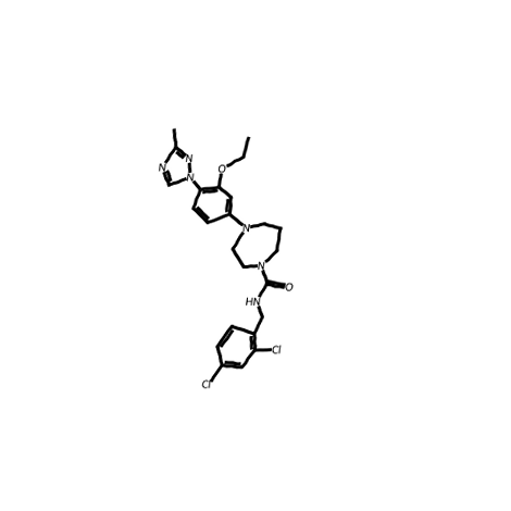 CCOc1cc(N2CCCN(C(=O)NCc3ccc(Cl)cc3Cl)CC2)ccc1-n1cnc(C)n1